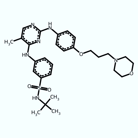 Cc1cnc(Nc2ccc(OCCCN3CCOCC3)cc2)nc1Nc1cccc(S(=O)(=O)NC(C)(C)C)c1